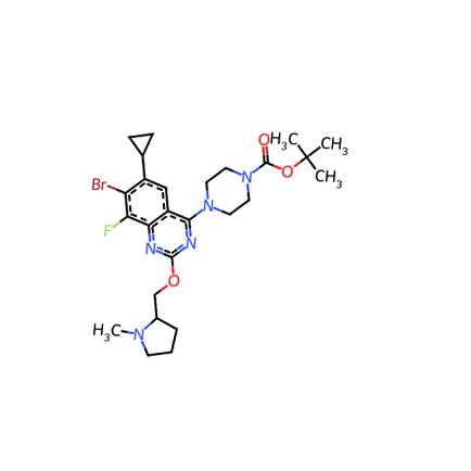 CN1CCCC1COc1nc(N2CCN(C(=O)OC(C)(C)C)CC2)c2cc(C3CC3)c(Br)c(F)c2n1